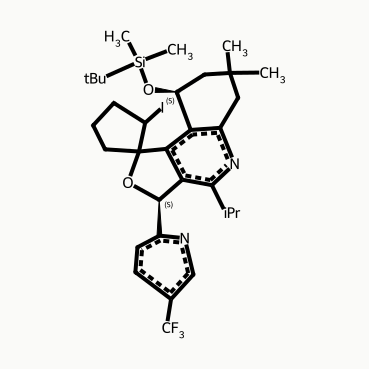 CC(C)c1nc2c(c3c1[C@@H](c1ccc(C(F)(F)F)cn1)OC31CCCC1I)[C@@H](O[Si](C)(C)C(C)(C)C)CC(C)(C)C2